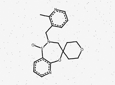 Cc1ncccc1CN1CC2(CCOCC2)Oc2ncccc2[S+]1[O-]